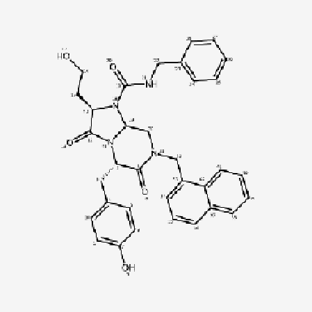 O=C1[C@H](Cc2ccc(O)cc2)N2C(=O)[C@@H](CCO)N(C(=O)NCc3ccccc3)C2CN1Cc1cccc2ccccc12